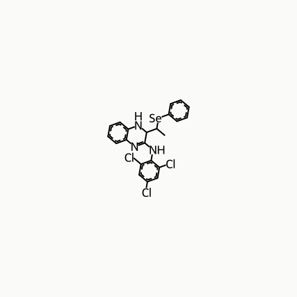 CC([Se]c1ccccc1)C1Nc2ccccc2N=C1Nc1c(Cl)cc(Cl)cc1Cl